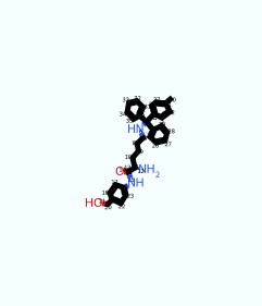 Cc1ccc(C(NCCCC[C@@H](N)C(=O)Nc2ccc(CO)cc2)(c2ccccc2)c2ccccc2)cc1